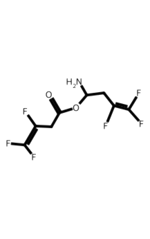 NC(CC(F)=C(F)F)OC(=O)CC(F)=C(F)F